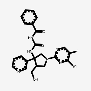 CC(C)c1nc(N2CC(CO)C(NC(=S)NC(=O)c3ccccc3)(c3cccnc3)C2)ncc1F